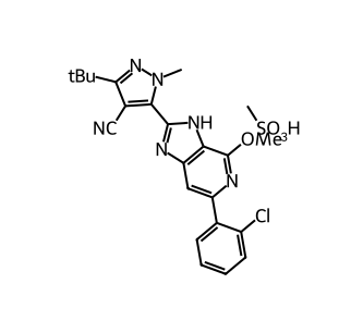 COc1nc(-c2ccccc2Cl)cc2nc(-c3c(C#N)c(C(C)(C)C)nn3C)[nH]c12.CS(=O)(=O)O